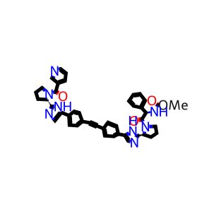 COC(=O)N[C@@H](C(=O)N1CCC[C@H]1c1ncc(-c2ccc(C#Cc3ccc(-c4cnc([C@@H]5CCCN5C(=O)c5cccnc5)[nH]4)cc3)cc2)[nH]1)c1ccccc1